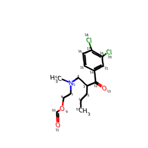 CCCC(CN(C)CCOC=O)C(=O)c1ccc(Cl)c(Cl)c1